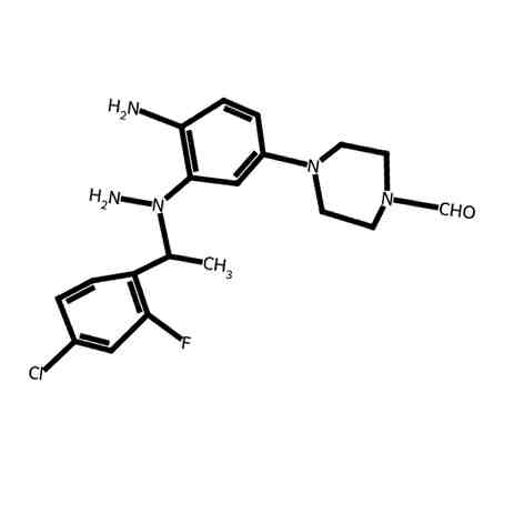 CC(c1ccc(Cl)cc1F)N(N)c1cc(N2CCN(C=O)CC2)ccc1N